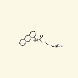 CCCCCCCCCCCCCCCC(=O)Nc1cccc2cc3ccccc3cc12